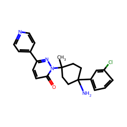 CC1(n2nc(-c3ccncc3)ccc2=O)CCC(N)(c2cccc(Cl)c2)CC1